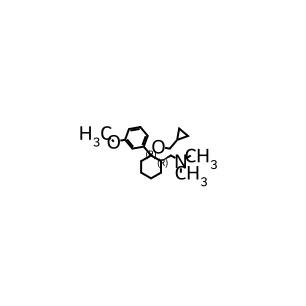 COc1cccc([C@@]2(OCC3CC3)CCCC[C@@H]2CN(C)C)c1